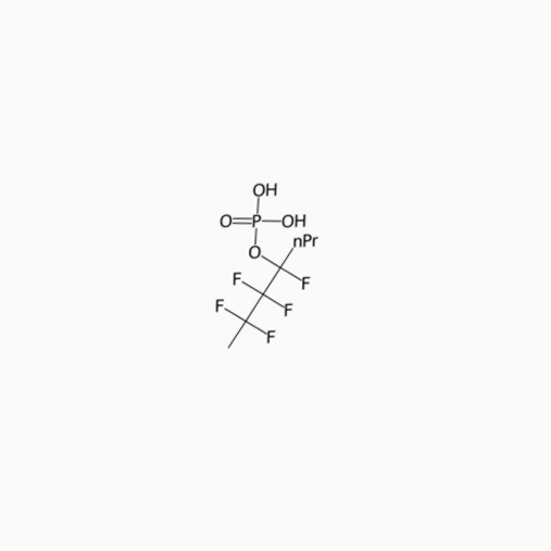 CCCC(F)(OP(=O)(O)O)C(F)(F)C(C)(F)F